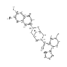 Cc1ccc(-n2cccn2)c(C(=O)N2CC3CC(C2)CN(c2cnc4cc(F)c(F)cc4n2)C3)n1